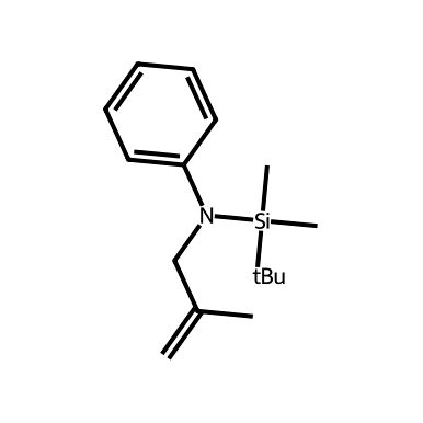 C=C(C)CN(c1ccccc1)[Si](C)(C)C(C)(C)C